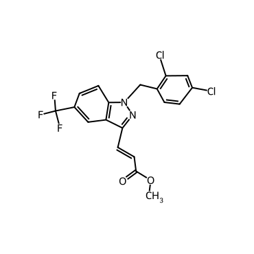 COC(=O)C=Cc1nn(Cc2ccc(Cl)cc2Cl)c2ccc(C(F)(F)F)cc12